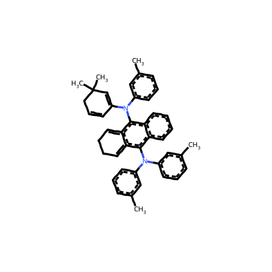 Cc1cccc(N(C2=CC(C)(C)CC=C2)c2c3c(c(N(c4cccc(C)c4)c4cccc(C)c4)c4ccccc24)=CCCC=3)c1